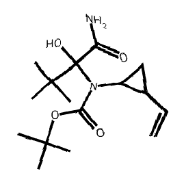 C=CC1CC1N(C(=O)OC(C)(C)C)C(O)(C(N)=O)C(C)(C)C